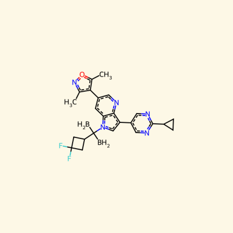 BC(B)(C1CC(F)(F)C1)n1cc(-c2cnc(C3CC3)nc2)c2ncc(-c3c(C)noc3C)cc21